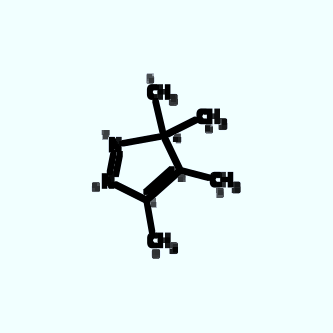 CC1=C(C)C(C)(C)N=N1